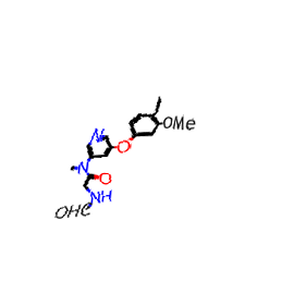 COc1cc(Oc2cncc(N(C)C(=O)CNC=O)c2)ccc1C